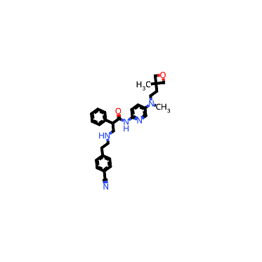 CN(CCC1(C)COC1)c1ccc(NC(=O)C(CNCCc2ccc(C#N)cc2)c2ccccc2)nc1